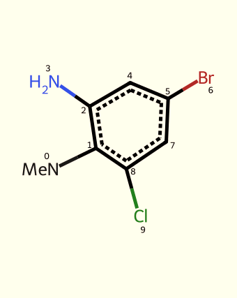 CNc1c(N)cc(Br)cc1Cl